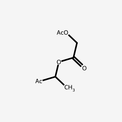 CC(=O)OCC(=O)OC(C)C(C)=O